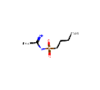 CCCCCCCCCCCCS(=O)(=O)NC(=N)CCCCC